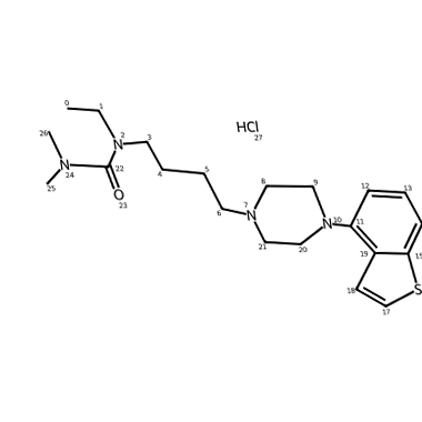 CCN(CCCCN1CCN(c2cccc3sccc23)CC1)C(=O)N(C)C.Cl